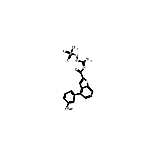 COc1cccc(-c2cccc3sc(C(=O)N=C(N)NOS(C)(=O)=O)cc23)c1